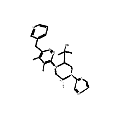 Cc1c(Cc2cccnc2)nnc(N2C[C@@H](C)N(c3cnccn3)CC2C(C)(C)O)c1C